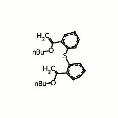 C=C(OCCCC)c1ccccc1Sc1ccccc1C(=C)OCCCC